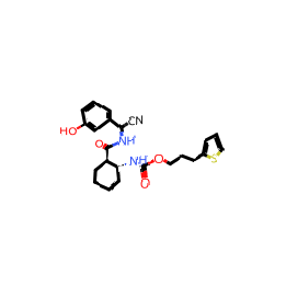 N#CC(NC(=O)[C@@H]1CCCC[C@H]1NC(=O)OCCCc1cccs1)c1cccc(O)c1